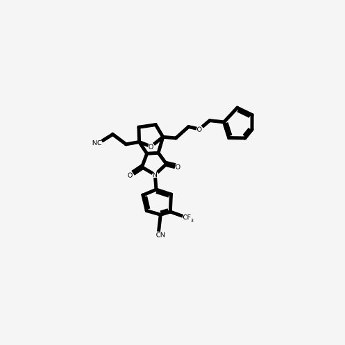 N#CCCC12CCC(CCOCc3ccccc3)(O1)C1C(=O)N(c3ccc(C#N)c(C(F)(F)F)c3)C(=O)C12